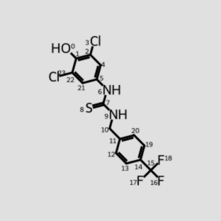 Oc1c(Cl)cc(NC(=S)NCc2ccc(C(F)(F)F)cc2)cc1Cl